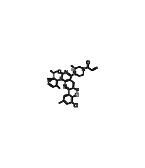 C=CC(=O)N1CCN(c2nc(=O)n(-c3c(C)ccnc3C(C)C)c3nc(-c4cc(C)cc(Cl)c4Cl)c(F)cc23)[C@@H](C)C1